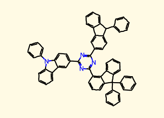 c1ccc(C2c3ccccc3-c3cc(-c4nc(-c5ccc6c(c5)c5ccccc5n6-c5ccccc5)nc(-c5cccc6c5-c5ccccc5C6(c5ccccc5)c5ccccc5)n4)ccc32)cc1